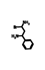 NC(Br)CC(N)c1ccccc1